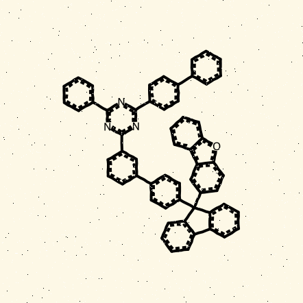 c1ccc(-c2ccc(-c3nc(-c4ccccc4)nc(-c4cccc(-c5ccc(C6(c7ccc8oc9ccccc9c8c7)c7ccccc7-c7ccccc76)cc5)c4)n3)cc2)cc1